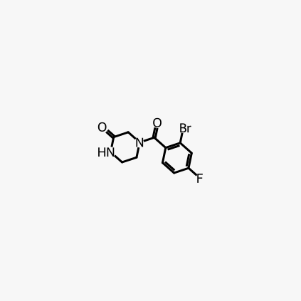 O=C1CN(C(=O)c2ccc(F)cc2Br)CCN1